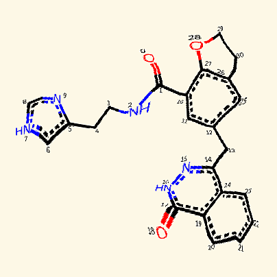 O=C(NCCc1c[nH]cn1)c1cc(Cc2n[nH]c(=O)c3ccccc23)cc2c1OCC2